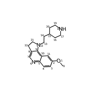 COc1ccc2ncc3c(c2c1)N(CCC1CCNCC1)CC3